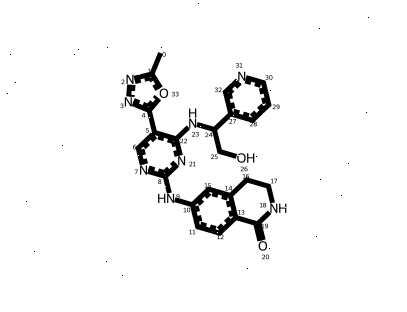 Cc1nnc(-c2cnc(Nc3ccc4c(c3)CCNC4=O)nc2NC(CO)c2cccnc2)o1